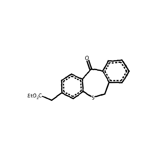 CCOC(=O)Cc1ccc2c(c1)SCc1ccccc1C2=O